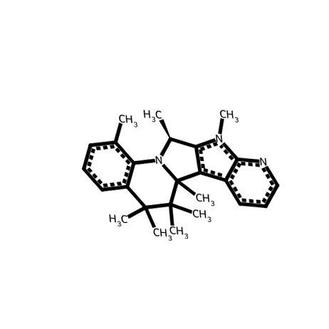 Cc1cccc2c1N1[C@@H](C)c3c(c4cccnc4n3C)C1(C)C(C)(C)C2(C)C